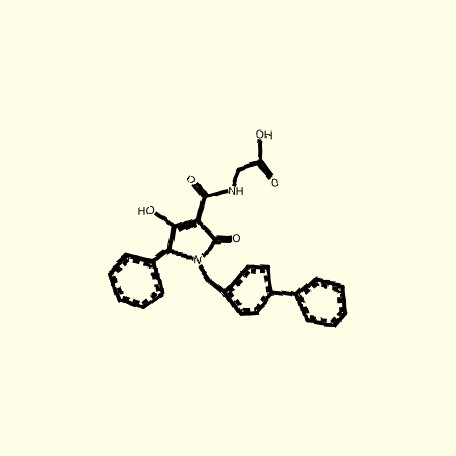 O=C(O)CNC(=O)C1=C(O)C(c2ccccc2)N(Cc2ccc(-c3ccccc3)cc2)C1=O